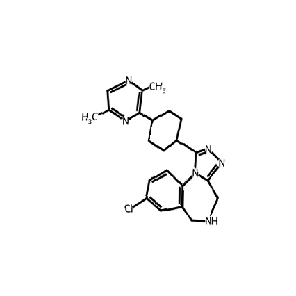 Cc1cnc(C)c(C2CCC(c3nnc4n3-c3ccc(Cl)cc3CNC4)CC2)n1